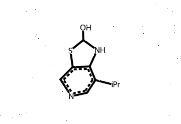 CC(C)c1cncc2c1NC(O)S2